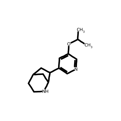 CC(C)Oc1cncc(C2CC3CCNC2C3)c1